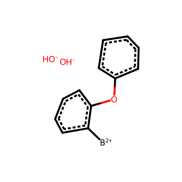 [B+2]c1ccccc1Oc1ccccc1.[OH-].[OH-]